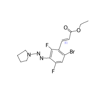 CCOC(=O)/C=C/c1c(Br)cc(F)c(N=NN2CCCC2)c1F